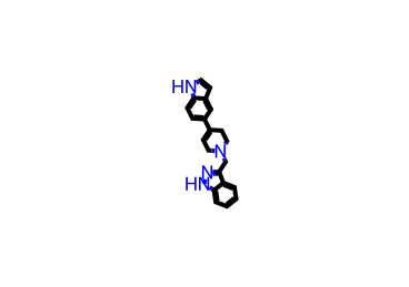 C1=C(c2ccc3[nH]ccc3c2)CCN(Cc2n[nH]c3ccccc23)C1